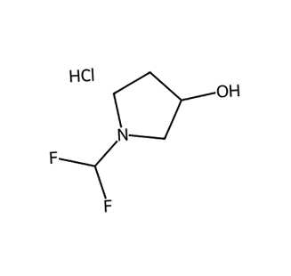 Cl.OC1CCN(C(F)F)C1